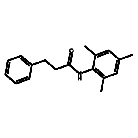 Cc1cc(C)c(NC(=O)CCc2ccccc2)c(C)c1